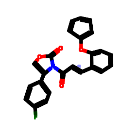 O=C(/C=C/c1ccccc1Oc1ccccc1)n1c(-c2ccc(F)cc2)coc1=O